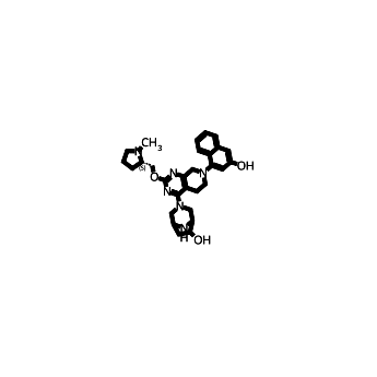 CN1CCC[C@H]1COc1nc2c(c(N3CC4CC(O)C(C3)N4)n1)CCN(c1cc(O)cc3ccccc13)C2